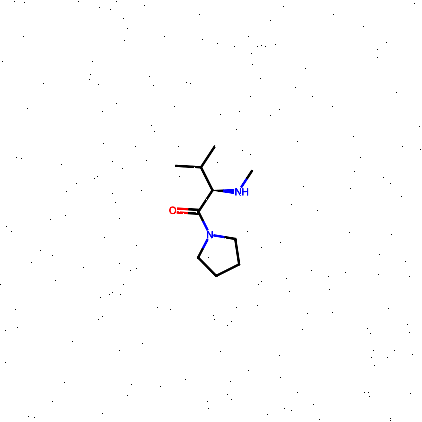 CN[C@@H](C(=O)N1CCCC1)C(C)C